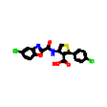 O=C(Nc1csc(-c2ccc(Cl)cc2)c1C(=O)O)c1nc2cc(Cl)ccc2o1